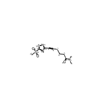 CN(C)C(=O)CCCC#Cc1nsc(S(C)(=O)=O)n1